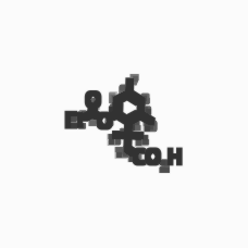 CCC(=O)Oc1cc(C)cc(C)c1C(C)(C)CC(=O)O